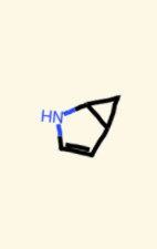 C1=CC2CC2N1